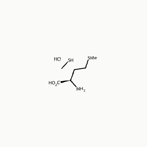 CS.CSCC[C@@H](N)C(=O)O.Cl